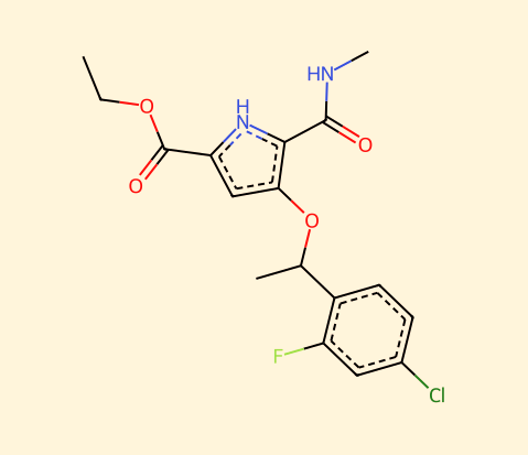 CCOC(=O)c1cc(OC(C)c2ccc(Cl)cc2F)c(C(=O)NC)[nH]1